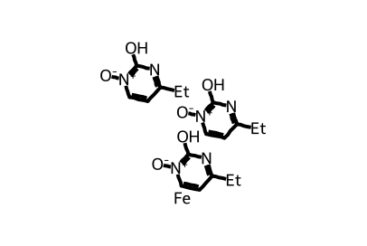 CCc1cc[n+]([O-])c(O)n1.CCc1cc[n+]([O-])c(O)n1.CCc1cc[n+]([O-])c(O)n1.[Fe]